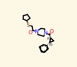 O=C(CSC1CCCC1)N1CCN(C(=O)[C@H]2C[C@@H]2c2ccccc2)CC1